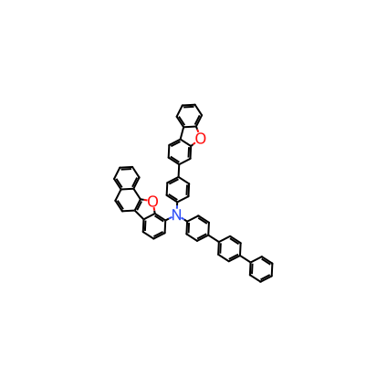 c1ccc(-c2ccc(-c3ccc(N(c4ccc(-c5ccc6c(c5)oc5ccccc56)cc4)c4cccc5c4oc4c6ccccc6ccc54)cc3)cc2)cc1